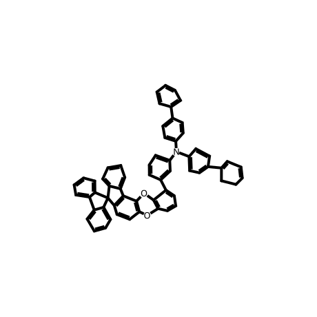 C1=CCCC(c2ccc(N(c3ccc(-c4ccccc4)cc3)c3cccc(-c4cccc5c4Oc4c(ccc6c4-c4ccccc4C64c6ccccc6-c6ccccc64)O5)c3)cc2)=C1